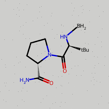 BN[C@H](C(=O)N1CCC[C@H]1C(N)=O)C(C)(C)C